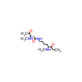 CCC(=O)C(CCCCNC(=O)C[C@H](NC)C(C)=O)NC